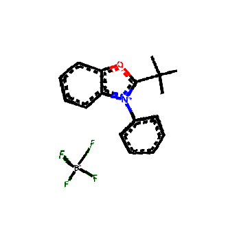 CC(C)(C)c1oc2ccccc2[n+]1-c1ccccc1.F[B-](F)(F)F